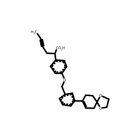 CC#CCC(C(=O)O)c1ccc(OCc2cccc(C3=CCC4(CC3)OCCO4)c2)cc1